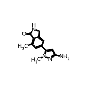 Cc1cc(-c2cc(N)nn2C)cc2c1C(=O)NC2